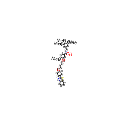 COc1ccc(/C(O)=C/Cc2cc(OC)c(OC)c(OC)c2)cc1OCCCCOc1ccc(-c2nc3ccccc3s2)cc1